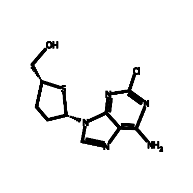 Nc1nc(Cl)nc2c1ncn2[C@@H]1CC[C@H](CO)S1